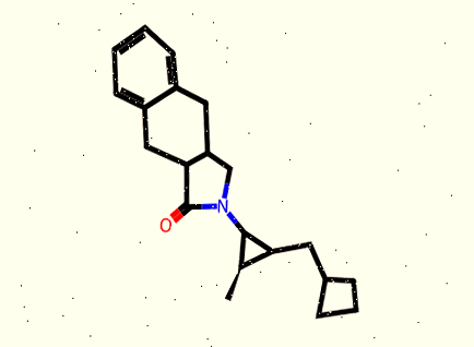 C[C@@H]1C(CC2CCC2)C1N1CC2Cc3ccccc3CC2C1=O